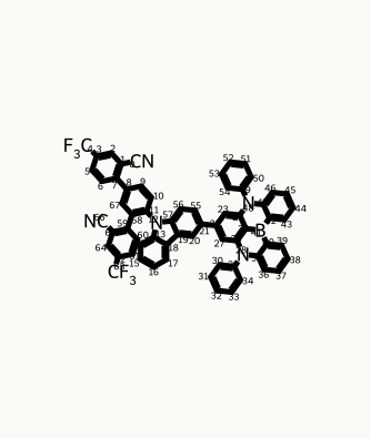 N#Cc1cc(C(F)(F)F)ccc1-c1ccc(-n2c3ccccc3c3cc(-c4cc5c6c(c4)N(c4ccccc4)c4ccccc4B6c4ccccc4N5c4ccccc4)ccc32)c(-c2ccc(C(F)(F)F)cc2C#N)c1